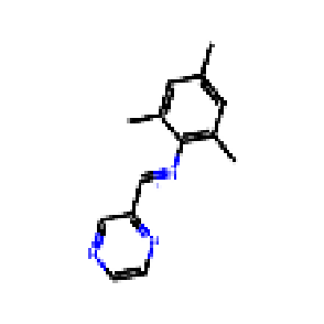 Cc1cc(C)c(/N=C/c2cnccn2)c(C)c1